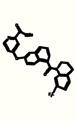 CNC(=O)c1cc(Oc2ccc3c(C(=O)N4CCCc5ccc(C(F)(F)F)cc54)cccc3c2)ccn1